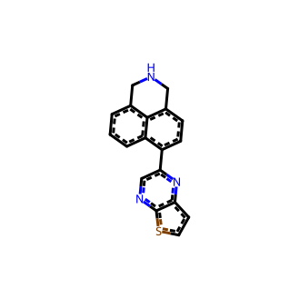 c1cc2c3c(ccc(-c4cnc5sccc5n4)c3c1)CNC2